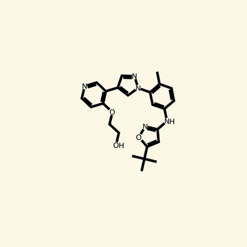 Cc1ccc(Nc2cc(C(C)(C)C)on2)cc1-n1cc(-c2cnccc2OCCO)cn1